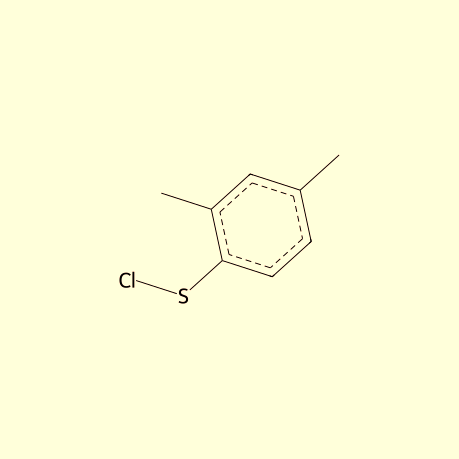 Cc1ccc(SCl)c(C)c1